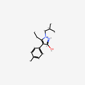 CCc1c(-c2ccc(C)cc2)c(O)nn1CC(C)C